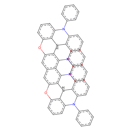 c1ccc(N2c3cccc4c3[SiH]3c5c2cccc5N(c2ccccc2)c2c3c(cc3cc5c6c(c23)N(c2ccccc2)c2cccc3c2[SiH]6c2c(cccc2N3c2ccccc2)O5)O4)cc1